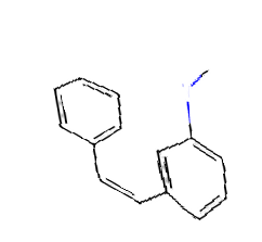 CNc1cccc(/C=C\c2ccccc2)c1